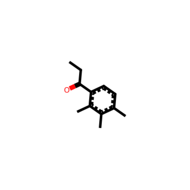 CCC(=O)c1ccc(C)c(C)c1C